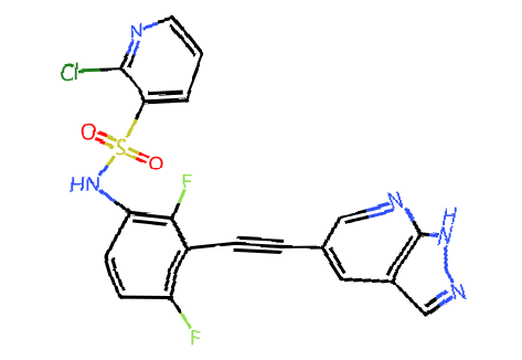 O=S(=O)(Nc1ccc(F)c(C#Cc2cnc3[nH]ncc3c2)c1F)c1cccnc1Cl